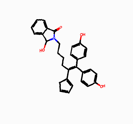 O=C1c2ccccc2C(O)N1CCCCC(C1=CC=CC1)=C(c1ccc(O)cc1)c1ccc(O)cc1